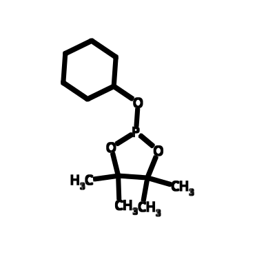 CC1(C)OP(OC2CCCCC2)OC1(C)C